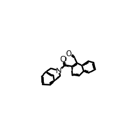 O=Cc1c(C(=O)N2Cc3cccc(c3)C2)ccc2ccccc12